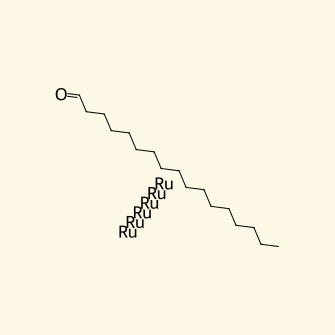 CCCCCCCCCCCCCCCCC=O.[Ru].[Ru].[Ru].[Ru].[Ru].[Ru]